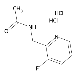 CC(=O)NCc1ncccc1F.Cl.Cl